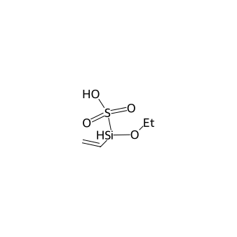 C=C[SiH](OCC)S(=O)(=O)O